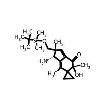 CC1=C2C(=C[C@@](C)(CO[Si](C)(C)C(C)(C)C)[C@H]2N)C(=O)[C@](C)(O)C12CC2